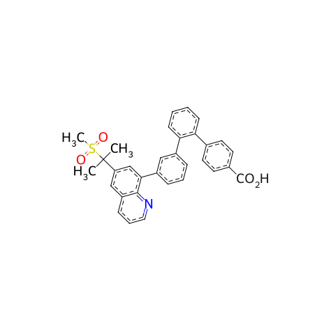 CC(C)(c1cc(-c2cccc(-c3ccccc3-c3ccc(C(=O)O)cc3)c2)c2ncccc2c1)S(C)(=O)=O